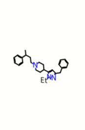 CCn1nc(Cc2ccccc2)cc1C1CCN(CCC(C)c2ccccc2)CC1